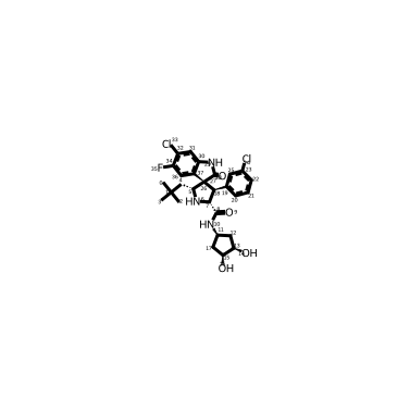 CC(C)(C)C[C@H]1N[C@@H](C(=O)N[C@H]2C[C@@H](O)[C@@H](O)C2)[C@H](c2cccc(Cl)c2)[C@@]12C(=O)Nc1cc(Cl)c(F)cc12